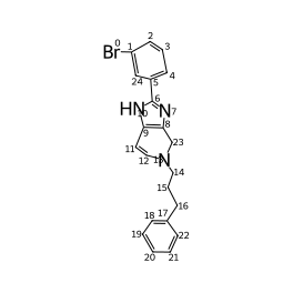 Brc1cccc(-c2nc3c([nH]2)C=CN(CCCc2ccccc2)C3)c1